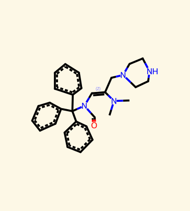 CN(C)/C(=C\N(C=O)C(c1ccccc1)(c1ccccc1)c1ccccc1)CN1CCNCC1